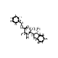 CCOC(=O)[C@@H](N[C@@H](C)C(=O)OCc1ccccc1)C1Cc2ccccc2C1